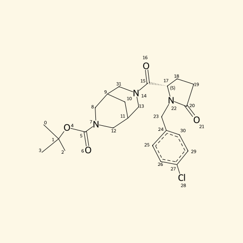 CC(C)(C)OC(=O)N1CC2CC(C1)CN(C(=O)[C@@H]1CCC(=O)N1Cc1ccc(Cl)cc1)C2